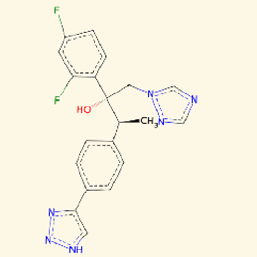 C[C@@H](c1ccc(-c2c[nH]nn2)cc1)[C@](O)(Cn1cncn1)c1ccc(F)cc1F